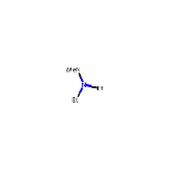 CCN(CC)NC